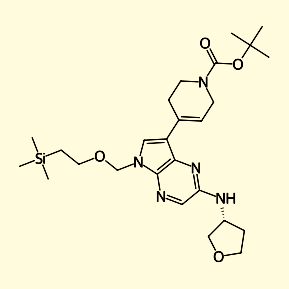 CC(C)(C)OC(=O)N1CC=C(c2cn(COCC[Si](C)(C)C)c3ncc(N[C@@H]4CCOC4)nc23)CC1